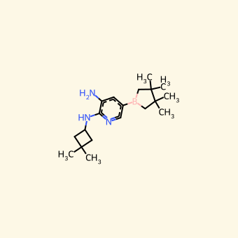 CC1(C)CC(Nc2ncc(B3CC(C)(C)C(C)(C)C3)cc2N)C1